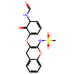 CS(=O)(=O)NC1=C(OC2=CC=CC(NC=O)C2=O)Cc2ccccc2O1